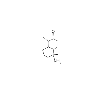 CN1C(=O)CCC2C1CCCC2(C)N